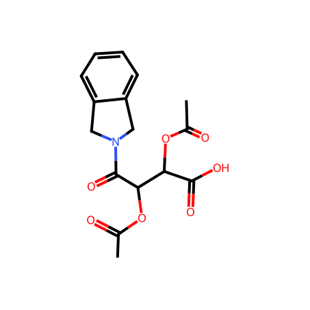 CC(=O)OC(C(=O)O)C(OC(C)=O)C(=O)N1Cc2ccccc2C1